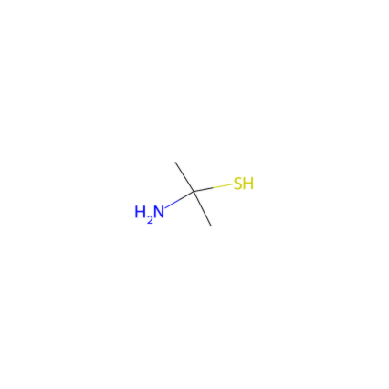 CC(C)(N)S